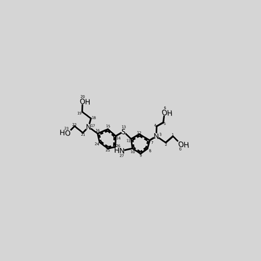 OCCN(CCO)c1ccc2c(c1)Sc1cc(N(CCO)CCO)ccc1N2